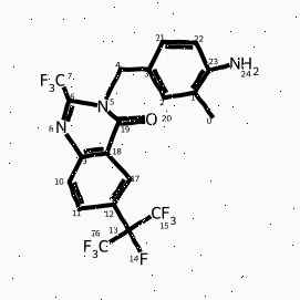 Cc1cc(Cn2c(C(F)(F)F)nc3ccc(C(F)(C(F)(F)F)C(F)(F)F)cc3c2=O)ccc1N